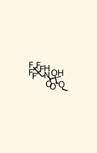 CCOC(=O)[C@@](C)(O)C(=O)NCC(F)(F)C(F)(F)F